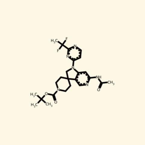 CC(=O)Nc1cc2c(cn1)C1(CCN(C(=O)OC(C)(C)C)CC1)CN2c1ccnc(C(C)(F)F)n1